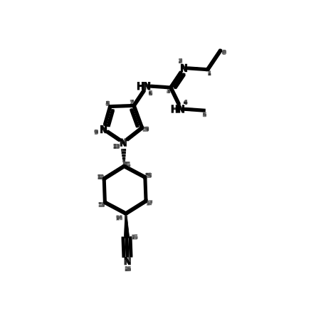 CC/N=C(\NC)Nc1cnn([C@H]2CC[C@H](C#N)CC2)c1